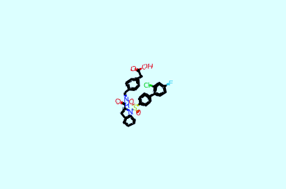 O=C(O)Cc1ccc(CNC(=O)[C@@H]2Cc3ccccc3N2S(=O)(=O)c2ccc(-c3ccc(F)cc3Cl)cc2)cc1